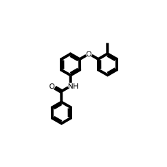 Cc1ccccc1Oc1cccc(NC(=O)c2ccccc2)c1